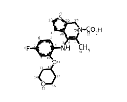 CC1=C(Nc2ccc(F)cc2OC2CCOCC2)c2ccsc2CN1C(=O)O